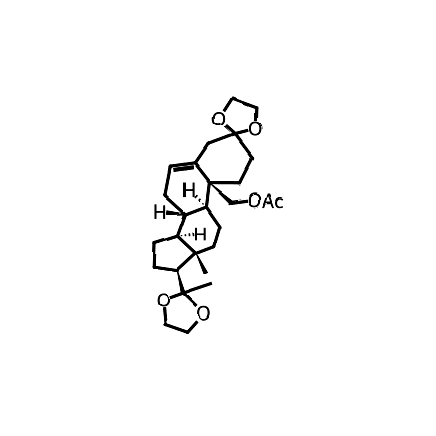 CC(=O)OC[C@]12CCC3(CC1=CC[C@@H]1[C@@H]2CC[C@]2(C)[C@@H](C4(C)OCCO4)CC[C@@H]12)OCCO3